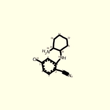 N#Cc1ccc(Cl)cc1NC1CCCCC1N